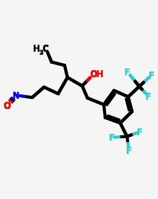 CCCC(CCCN=O)C(O)Cc1cc(C(F)(F)F)cc(C(F)(F)F)c1